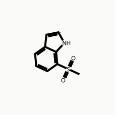 CS(=O)(=O)c1cccc2c[c][nH]c12